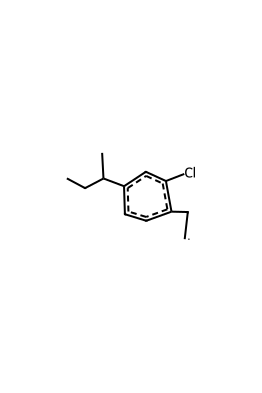 [CH2]Cc1ccc(C(C)CC)cc1Cl